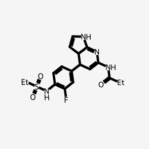 CCC(=O)NC1=CC(c2ccc(NS(=O)(=O)CC)c(F)c2)C2C=CNC2=N1